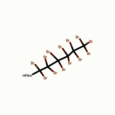 CCCCC[CH]C(Br)(Br)C(Br)(Br)C(Br)(Br)C(Br)(Br)C(Br)(Br)C(Br)(Br)Br